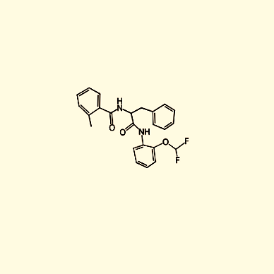 Cc1ccccc1C(=O)NC(Cc1ccccc1)C(=O)Nc1ccccc1OC(F)F